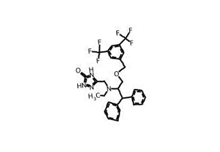 CCN(Cc1n[nH]c(=O)[nH]1)C(COCc1cc(C(F)(F)F)cc(C(F)(F)F)c1)C(c1ccccc1)c1ccccc1